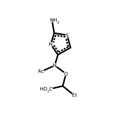 CCC(ON(C(C)=O)c1csc(N)n1)C(=O)O